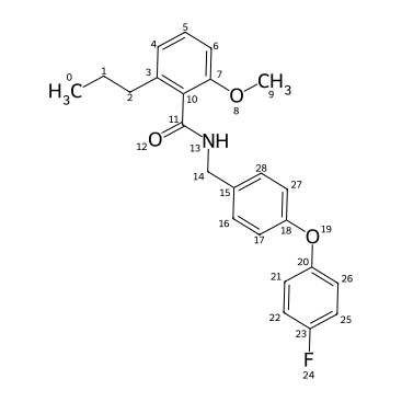 CCCc1cccc(OC)c1C(=O)NCc1ccc(Oc2ccc(F)cc2)cc1